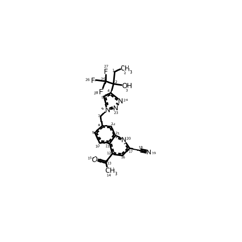 CCC(O)(c1cn(Cc2ccc3c(C(C)=O)cc(C#N)nc3c2)nn1)C(F)(F)F